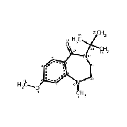 COc1ccc2c(c1)N(C)CCN(C(C)(C)C)C2=O